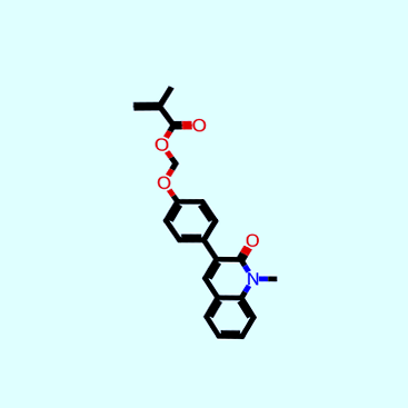 C=C(C)C(=O)OCOc1ccc(-c2cc3ccccc3n(C)c2=O)cc1